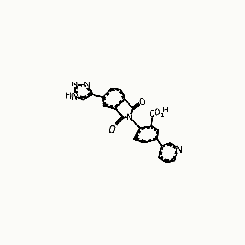 O=C(O)c1cc(-c2cccnc2)ccc1N1C(=O)c2ccc(-c3c[nH]nn3)cc2C1=O